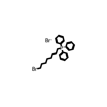 BrCCCCCC=CC[P+](c1ccccc1)(c1ccccc1)c1ccccc1.[Br-]